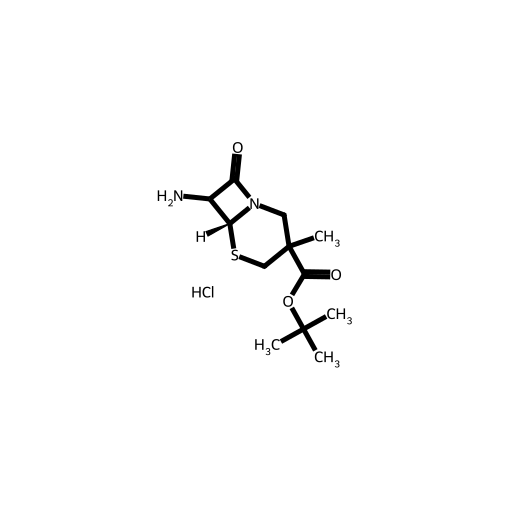 CC(C)(C)OC(=O)C1(C)CS[C@@H]2C(N)C(=O)N2C1.Cl